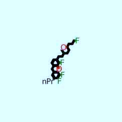 CCCc1cc2c(c(F)c1F)Oc1c(ccc(CCC3CCC(CCCF)OC3)c1F)C2